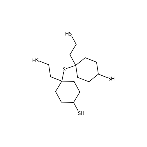 SCCC1(SC2(CCS)CCC(S)CC2)CCC(S)CC1